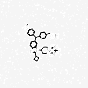 COc1ccc(C(c2ccc(CO)cc2)c2ccc3nc(C4CCC4)n(C4CCN(S(=O)(=O)C(F)(F)F)CC4)c3c2)cc1